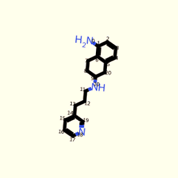 Nc1cccc2c1CCC(NCCCc1cccnc1)C2